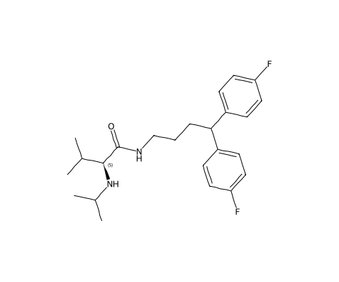 CC(C)N[C@H](C(=O)NCCCC(c1ccc(F)cc1)c1ccc(F)cc1)C(C)C